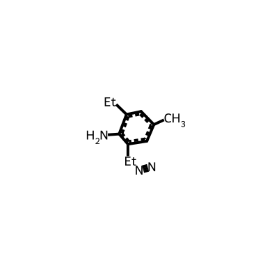 CCc1cc(C)cc(CC)c1N.N#N